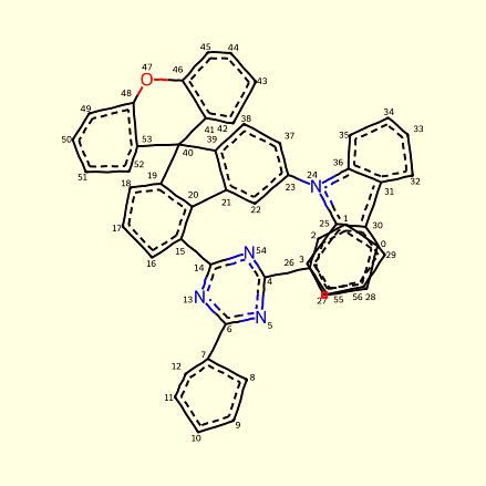 c1ccc(-c2nc(-c3ccccc3)nc(-c3cccc4c3-c3cc(-n5c6ccccc6c6ccccc65)ccc3C43c4ccccc4Oc4ccccc43)n2)cc1